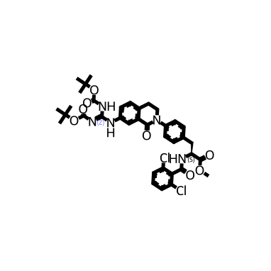 COC(=O)[C@H](Cc1ccc(N2CCc3ccc(N/C(=N/C(=O)OC(C)(C)C)NC(=O)OC(C)(C)C)cc3C2=O)cc1)NC(=O)c1c(Cl)cccc1Cl